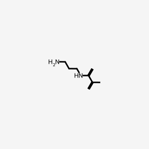 C=C(C)C(=C)NCCCN